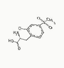 CS(=O)(=O)c1ccc(C[C@H](N)C(=O)O)c(Cl)c1